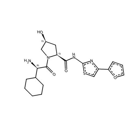 N[C@@H](C(=O)N1C[C@@H](O)C[C@H]1C(=O)Nc1nc(-c2ccco2)cs1)C1CCCCC1